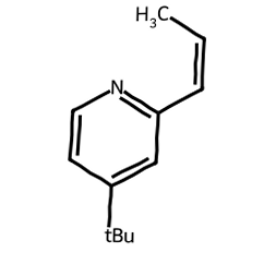 C/C=C\c1cc(C(C)(C)C)ccn1